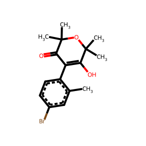 Cc1cc(Br)ccc1C1=C(O)C(C)(C)OC(C)(C)C1=O